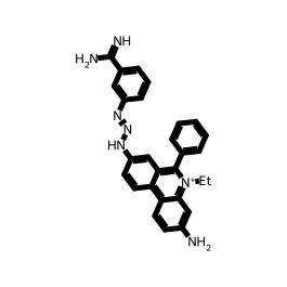 CC[n+]1c(-c2ccccc2)c2cc(NN=Nc3cccc(C(=N)N)c3)ccc2c2ccc(N)cc21